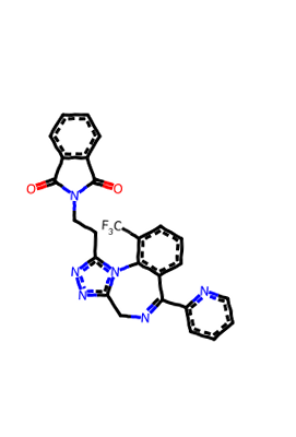 O=C1c2ccccc2C(=O)N1CCc1nnc2n1-c1c(cccc1C(F)(F)F)C(c1ccccn1)=NC2